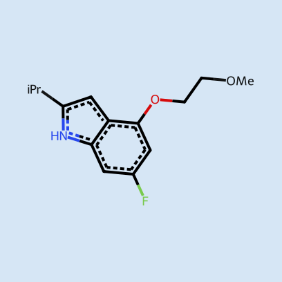 COCCOc1cc(F)cc2[nH]c(C(C)C)cc12